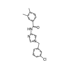 Cc1ccc(C(=O)Nc2cn(Cc3cccc(Cl)c3)cn2)cc1C